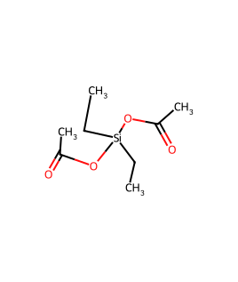 CC[Si](CC)(OC(C)=O)OC(C)=O